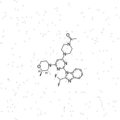 CC(=O)N1CCN(c2cc(N3CCO[C@H](C)[C@H]3C)nc(-n3c(C(F)F)nc4ccccc43)n2)CC1